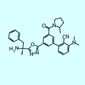 CC1CCCN1C(=O)c1cc(-c2nnc([C@](C)(N)Cc3ccccc3)o2)cc(-c2cccc(N(C)C)c2C#N)c1